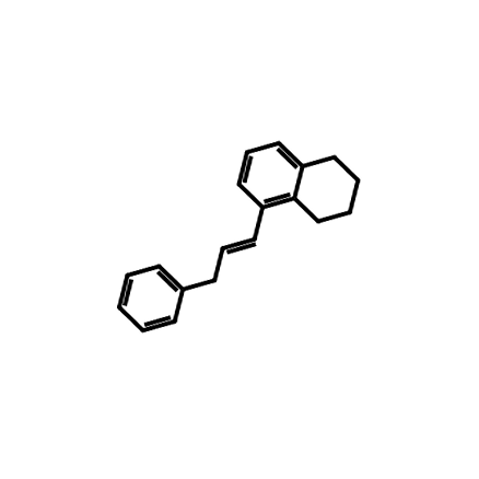 C(=Cc1cccc2c1CCCC2)Cc1ccccc1